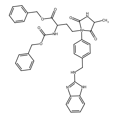 CC1NC(=O)[N+](CCC(NC(=O)OCc2ccccc2)C(=O)OCc2ccccc2)(c2ccc(CNc3nc4ccccc4[nH]3)cc2)C1=O